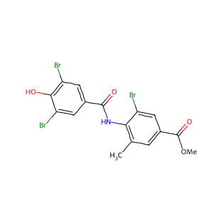 COC(=O)c1cc(C)c(NC(=O)c2cc(Br)c(O)c(Br)c2)c(Br)c1